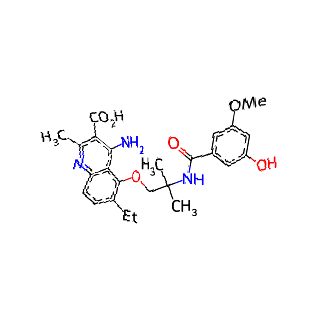 CCc1ccc2nc(C)c(C(=O)O)c(N)c2c1OCC(C)(C)NC(=O)c1cc(O)cc(OC)c1